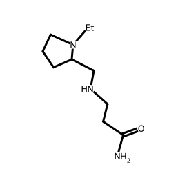 CCN1CCCC1CNCCC(N)=O